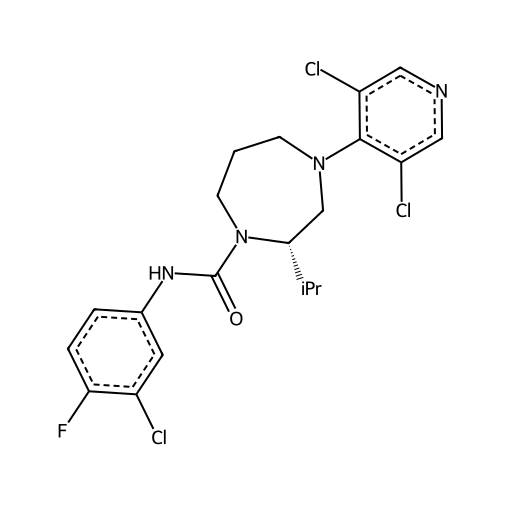 CC(C)[C@H]1CN(c2c(Cl)cncc2Cl)CCCN1C(=O)Nc1ccc(F)c(Cl)c1